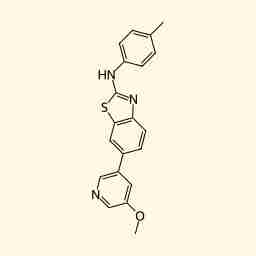 COc1cncc(-c2ccc3nc(Nc4ccc(C)cc4)sc3c2)c1